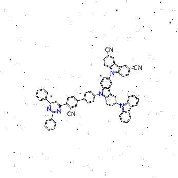 N#Cc1ccc2c(c1)c1cc(C#N)ccc1n2-c1ccc2c(c1)c1cc(-n3c4ccccc4c4ccccc43)ccc1n2-c1ccc(-c2ccc(-c3cc(-c4ccccc4)nc(-c4ccccc4)n3)c(C#N)c2)cc1